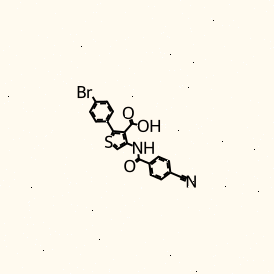 N#Cc1ccc(C(=O)Nc2csc(-c3ccc(Br)cc3)c2C(=O)O)cc1